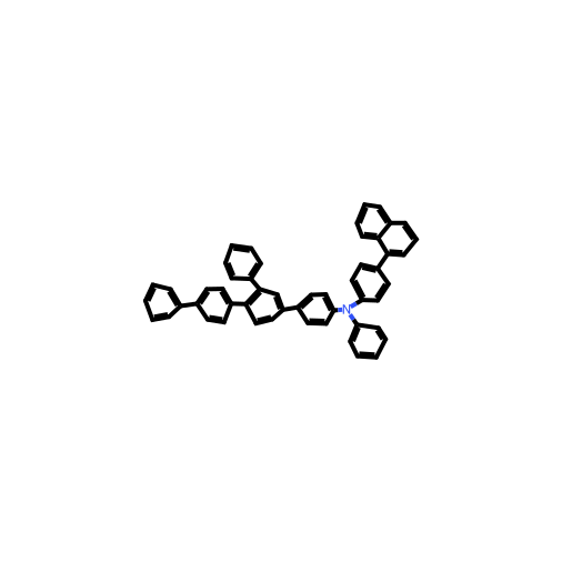 c1ccc(-c2ccc(-c3ccc(-c4ccc(N(c5ccccc5)c5ccc(-c6cccc7ccccc67)cc5)cc4)cc3-c3ccccc3)cc2)cc1